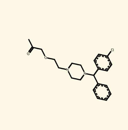 CC(=O)COCCN1CCN(C(c2ccccc2)c2ccc(Cl)cc2)CC1